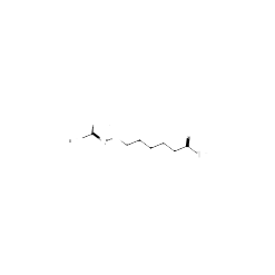 CCC/C(C)=N/OCCCCCC(=O)C(C)C